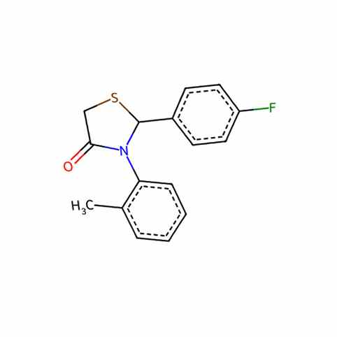 Cc1ccccc1N1C(=O)CSC1c1ccc(F)cc1